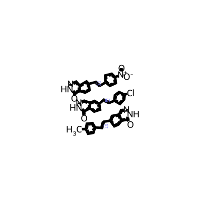 Cc1ccc(/C=C/c2ccc3c(=O)[nH]ncc3c2)cc1.O=c1[nH]ncc2cc(/C=C/c3ccc(Cl)cc3)ccc12.O=c1[nH]ncc2cc(/C=C/c3ccc([N+](=O)[O-])cc3)ccc12